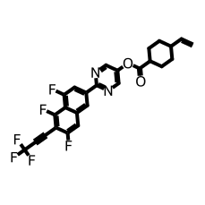 C=CC1CCC(C(=O)Oc2cnc(-c3cc(F)c4c(F)c(C#CC(F)(F)F)c(F)cc4c3)nc2)CC1